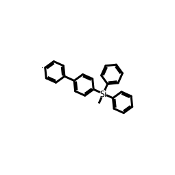 C[Si](c1ccccc1)(c1ccccc1)c1ccc(-c2cc[c]cc2)cc1